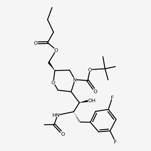 CCCC(=O)OC[C@H]1CN(C(=O)OC(C)(C)C)C([C@@H](O)[C@H](Cc2cc(F)cc(F)c2)NC(C)=O)CO1